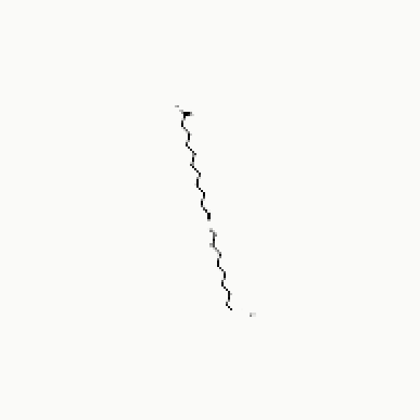 CCCCCCCCCCCCCCCCCCSCCCCCCCCCCC(N)=O